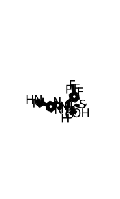 CSCC[C@@H](C(=O)O)N(Cc1ccc(F)c(C(F)(F)F)c1)Nc1cnc2cc(-c3cn[nH]c3)ccc2n1